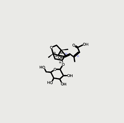 CC(=C/C(=O)O)/C=C/[C@]1(O)[C@]2(C)CO[C@@]1(C)C[C@@H](OC1OC(CO)C(O)C(O)C1O)C2